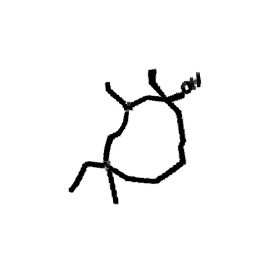 CCS1(C)CCC[C@@](C)(O)N(C)C1